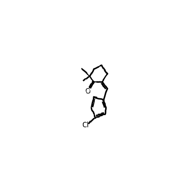 CC1(C)CCCC(=Cc2ccc(Cl)cc2)C1=O